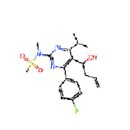 C=CCC(O)c1c(-c2ccc(F)cc2)nc(N(C)S(C)(=O)=O)nc1C(C)C